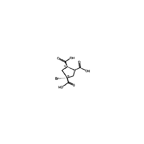 O=C(O)[C@@H]1C[C@](Br)(C(=O)O)CN1C(=O)O